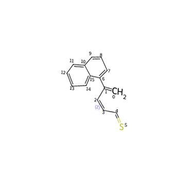 C=C(/C=C\C=S)c1cccc2ccccc12